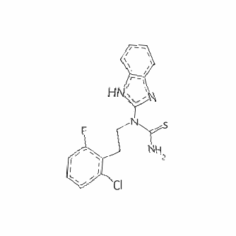 NC(=S)N(CCc1c(F)cccc1Cl)c1nc2ccccc2[nH]1